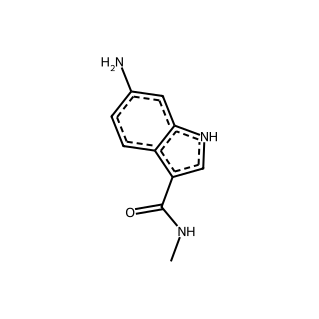 CNC(=O)c1c[nH]c2cc(N)ccc12